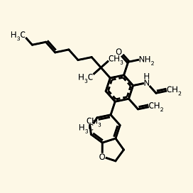 C=CNc1c(C=C)c(C(/C=C2/CCO/C2=C/C)=C/C)cc(C(C)(C)CCC/C=C/CC)c1C(N)=O